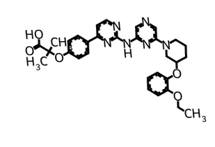 CCOc1ccccc1OC1CCCN(c2cncc(Nc3nccc(-c4ccc(OC(C)(C)C(=O)O)cc4)n3)n2)C1